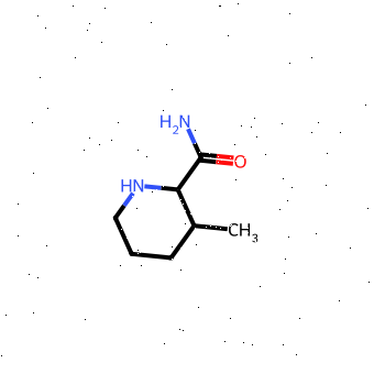 CC1CCCNC1C(N)=O